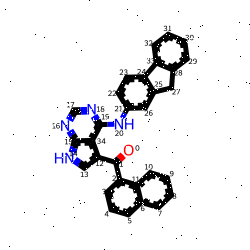 O=C(c1cccc2ccccc12)c1c[nH]c2ncnc(Nc3ccc4c(c3)Cc3ccccc3-4)c12